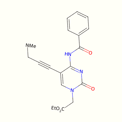 CCOC(=O)Cn1cc(C#CCNC)c(NC(=O)c2ccccc2)nc1=O